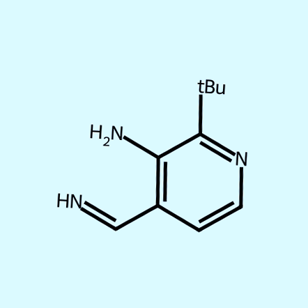 CC(C)(C)c1nccc(C=N)c1N